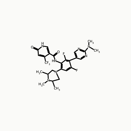 CC1CN(c2cc(F)c(-c3cnc(N(C)C)nc3)c(F)c2NC(=O)c2c[nH]c(=O)cc2C(F)(F)F)CC(C)N1C